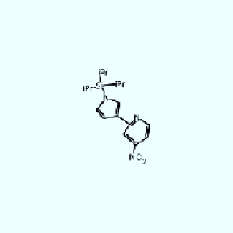 CC(C)[Si](C(C)C)(C(C)C)n1ccc(-c2cc([N+](=O)[O-])ccn2)c1